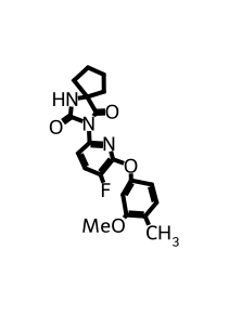 COc1cc(Oc2nc(N3C(=O)NC4(CCCC4)C3=O)ccc2F)ccc1C